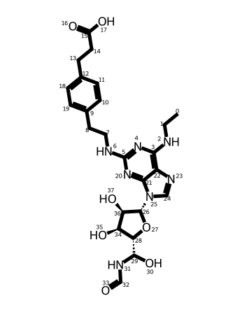 CCNc1nc(NCCc2ccc(CCC(=O)O)cc2)nc2c1ncn2[C@@H]1O[C@H](C(O)NC=O)[C@@H](O)[C@H]1O